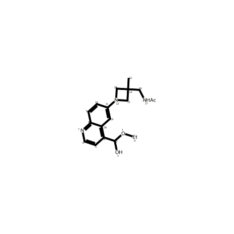 CCOC(O)c1ccnc2ccc(N3CC(C)(CNC(C)=O)C3)cc12